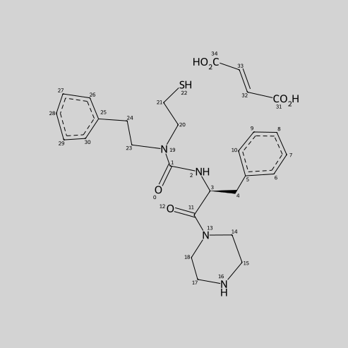 O=C(N[C@@H](Cc1ccccc1)C(=O)N1CCNCC1)N(CCS)CCc1ccccc1.O=C(O)C=CC(=O)O